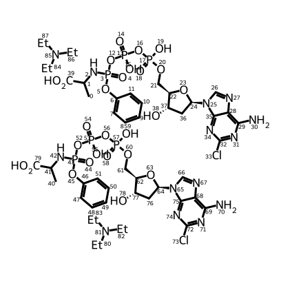 CC(NP(=O)(Oc1ccccc1)OP(=O)(O)OP(=O)(O)OC[C@H]1O[C@@H](n2cnc3c(N)nc(Cl)nc32)C[C@@H]1O)C(=O)O.CC(NP(=O)(Oc1ccccc1)OP(=O)(O)OP(=O)(O)OC[C@H]1O[C@@H](n2cnc3c(N)nc(Cl)nc32)C[C@@H]1O)C(=O)O.CCN(CC)CC.CCN(CC)CC